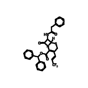 O=C(Cc1ccccc1)NC1C(=O)N2C(C(=O)OC(c3ccccc3)c3ccccc3)=C(C=CC(F)(F)F)CS[C@@H]12